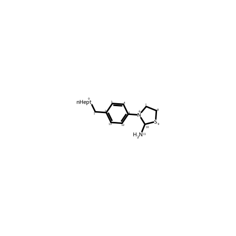 CCCCCCCCc1ccc(N2CCSC2N)cc1